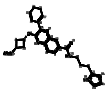 CN[C@H]1C[C@H](Oc2nc3ccc(C(=O)NCCCc4ncc[nH]4)cc3nc2C2=CCCC=C2)C1